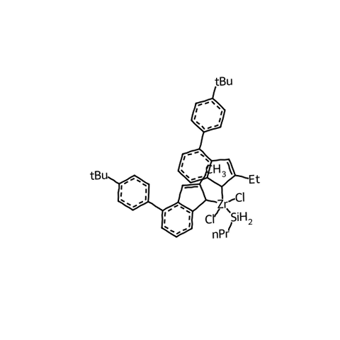 CCC[SiH2][Zr]([Cl])([Cl])([CH]1C(C)=Cc2c(-c3ccc(C(C)(C)C)cc3)cccc21)[CH]1C(CC)=Cc2c(-c3ccc(C(C)(C)C)cc3)cccc21